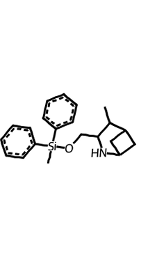 CC1C2CC(C2)NC1CO[Si](C)(c1ccccc1)c1ccccc1